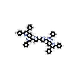 N#Cc1c(-c2ccccc2)nc2c(ccc3c(-c4ccccc4)cc(-c4ccccc4)nc32)c1-c1ccc(-c2ccc(-c3nc(-c4ccccc4)nc4c3ccc3c(-c5ccccc5)cc(-c5ccccc5)nc34)nc2)cn1